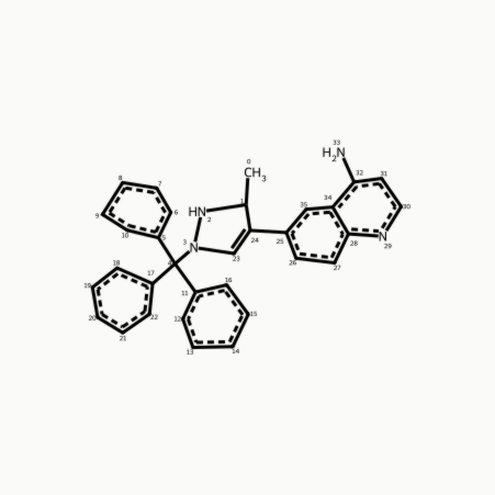 CC1NN(C(c2ccccc2)(c2ccccc2)c2ccccc2)C=C1c1ccc2nccc(N)c2c1